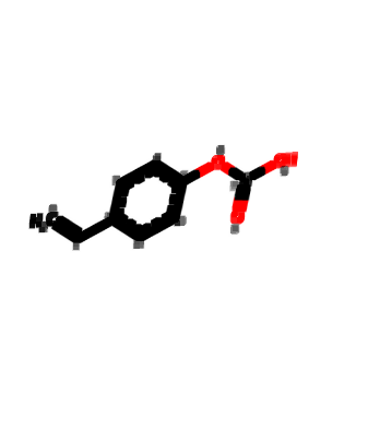 C=Cc1ccc(O[Si](=O)O)cc1